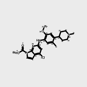 COC(=O)n1ccc2c(Cl)cc(Nc3cc(C)c(C4CCN(C)CC4)cc3OC(C)C)nc21